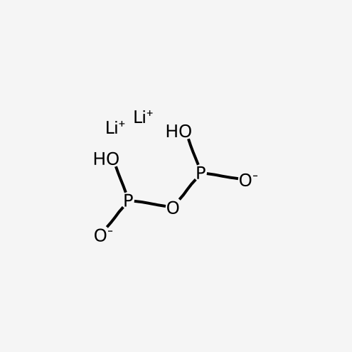 [Li+].[Li+].[O-]P(O)OP([O-])O